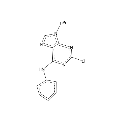 CCCn1cnc2c(Nc3ccccc3)nc(Cl)nc21